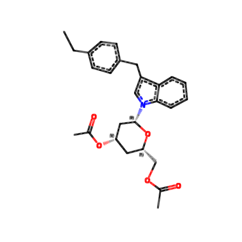 CCc1ccc(Cc2cn([C@H]3C[C@@H](OC(C)=O)C[C@@H](COC(C)=O)O3)c3ccccc23)cc1